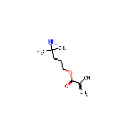 C=C(C)C(=O)OCCCC(C)(C)N